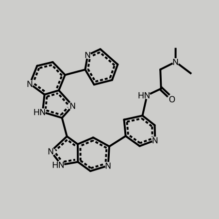 CN(C)CC(=O)Nc1cncc(-c2cc3c(-c4nc5c(-c6ccccn6)ccnc5[nH]4)n[nH]c3cn2)c1